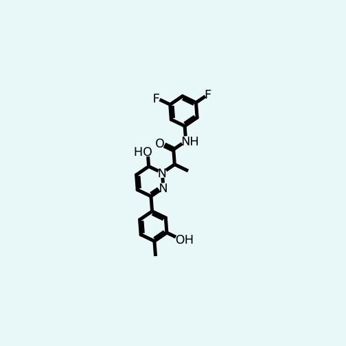 Cc1ccc(C2=NN(C(C)C(=O)Nc3cc(F)cc(F)c3)C(O)C=C2)cc1O